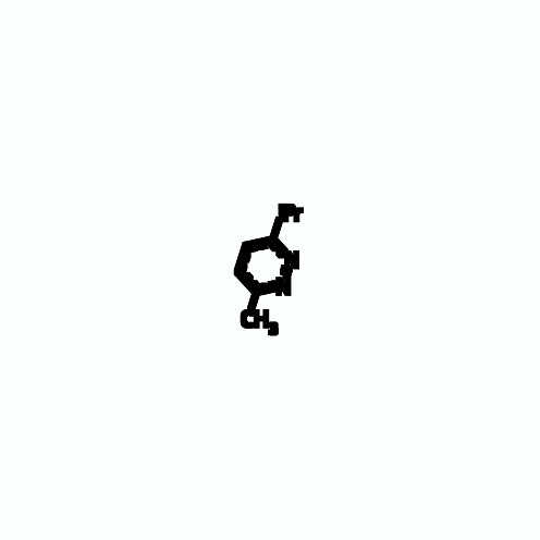 Cc1ccc(C(C)C)nn1